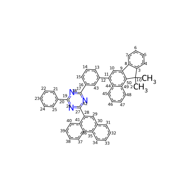 CC1(C)c2ccccc2-c2cc(-c3cccc(-c4nc(-c5ccccc5)nc(-c5cc6ccccc6c6ccccc56)n4)c3)c3ccccc3c21